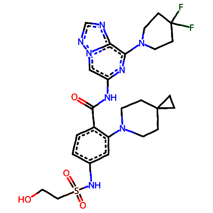 O=C(Nc1cn2ncnc2c(N2CCC(F)(F)CC2)n1)c1ccc(NS(=O)(=O)CCO)cc1N1CCC2(CC1)CC2